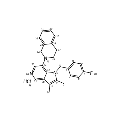 Cc1c(C)n(Cc2ccc(F)cc2)c2c(N3CCc4ccccc4C3)cncc12.Cl